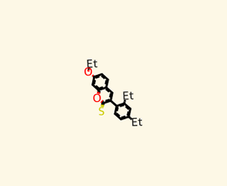 CCOc1ccc2cc(-c3ccc(CC)cc3CC)c(=S)oc2c1